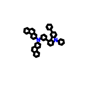 c1ccc(-c2ccc3c(c2)c2c(-c4cccc(N(c5ccc6c(ccc7ccccc76)c5)c5ccc6c(ccc7ccccc76)c5)c4)cccc2n3-c2ccccc2)cc1